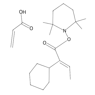 C=CC(=O)O.CC=C(C(=O)ON1C(C)(C)CCCC1(C)C)C1CCCCC1